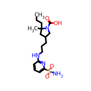 CCCC1(C)CC(CCCNc2cccc(S(N)(=O)=O)n2)CN1C(=O)O